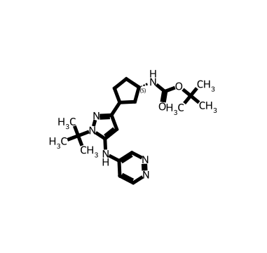 CC(C)(C)OC(=O)N[C@H]1CCC(c2cc(Nc3ccnnc3)n(C(C)(C)C)n2)C1